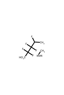 CC(F)C(F)(F)C(F)(F)S(=O)(=O)O.CNC